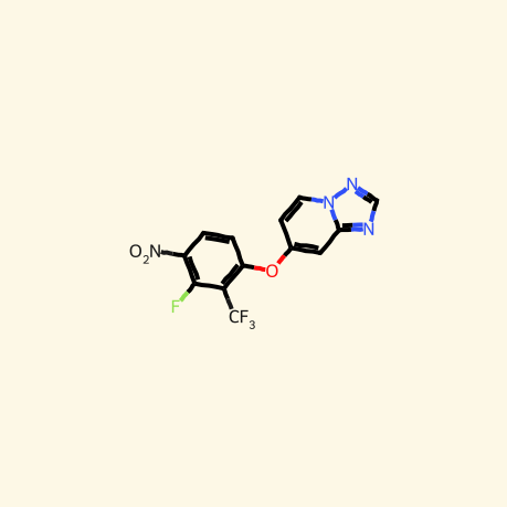 O=[N+]([O-])c1ccc(Oc2ccn3ncnc3c2)c(C(F)(F)F)c1F